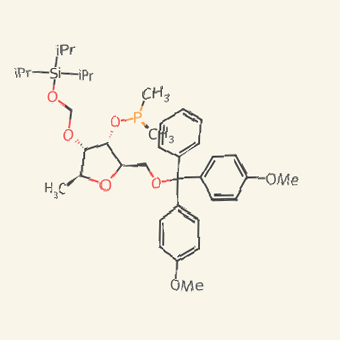 COc1ccc(C(OC[C@H]2O[C@@H](C)[C@H](OCO[Si](C(C)C)(C(C)C)C(C)C)[C@@H]2OP(C)C)(c2ccccc2)c2ccc(OC)cc2)cc1